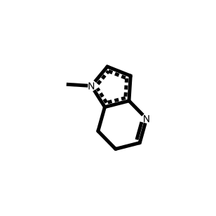 Cn1ccc2c1CCC=N2